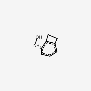 NO.c1ccc2c(c1)CC2